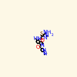 Cc1ccc2c(C(=O)c3ccc(N(C)C)nc3)nccc2c1NC(=O)c1csc2c(N)ncnc12